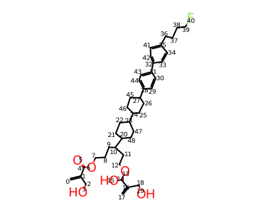 C=C(CO)C(=O)OCCCC(CCOC(O)C(=C)CO)C1CCC(C2CCC(c3ccc(-c4ccc(CCCCF)cc4)cc3)CC2)CC1